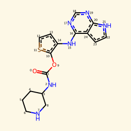 O=C(NC1CCCNC1)Oc1sccc1Nc1ncnc2[nH]ccc12